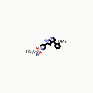 CCN(C(=O)O)S(=O)(=O)N1CC=C(c2cc3c(-c4ccccc4OC)ccnc3[nH]2)CC1